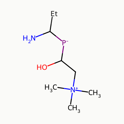 CCC(N)[P-]C(O)C[N+](C)(C)C